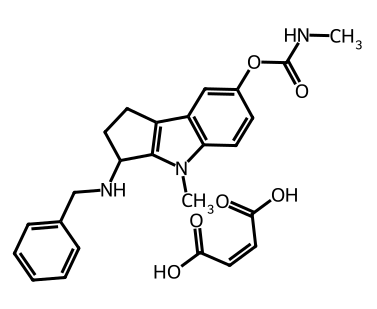 CNC(=O)Oc1ccc2c(c1)c1c(n2C)C(NCc2ccccc2)CC1.O=C(O)/C=C\C(=O)O